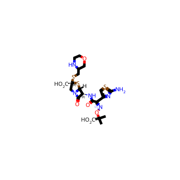 CC(C)(O/N=C(\C(=O)N[C@@H]1C(=O)N2C[C@](SCC3COCCN3)(C(=O)O)S[C@H]12)c1csc(N)n1)C(=O)O